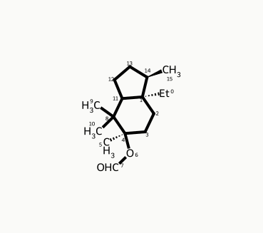 CC[C@]12CC[C@@](C)(OC=O)C(C)(C)C1CC[C@H]2C